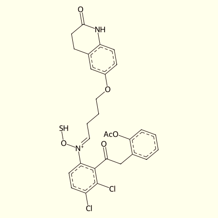 CC(=O)Oc1ccccc1CC(=O)c1c([N+](=CCCCOc2ccc3c(c2)CCC(=O)N3)OS)ccc(Cl)c1Cl